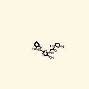 N#Cc1cnc(NCc2ccccc2O)nc1NCC(=O)N[C@H]1CCNC1